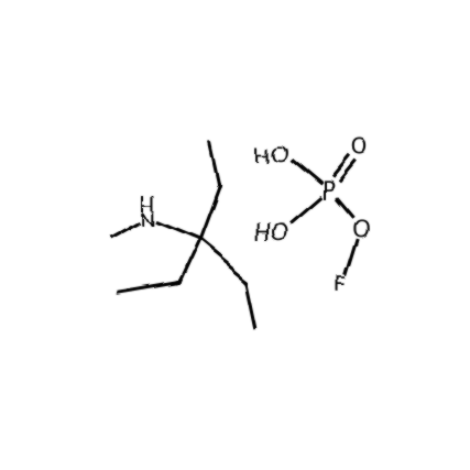 CCC(CC)(CC)NC.O=P(O)(O)OF